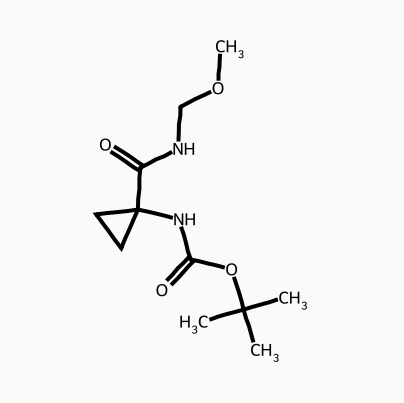 COCNC(=O)C1(NC(=O)OC(C)(C)C)CC1